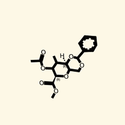 COC(=O)[C@@H]1OC2COC(c3ccccc3)O[C@@H]2C(C)C1OC(C)=O